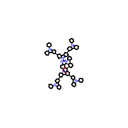 c1ccc(-c2cccc(-c3ccccc3)c2-c2nc(-n3c4ccc(-c5ccc6c(c5)c5ccccc5n6-c5ccccc5)cc4c4cc(-c5ccc6c(c5)c5ccccc5n6-c5ccccc5)ccc43)nc3ccc(-n4c5ccc(-c6ccc7c(c6)c6ccccc6n7-c6ccccc6)cc5c5cc(-c6ccc7c(c6)c6ccccc6n7-c6ccccc6)ccc54)cc23)cc1